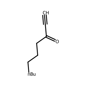 C#CC(=O)CCCCCCC